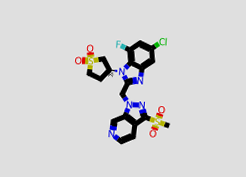 CS(=O)(=O)c1nn(Cc2nc3cc(Cl)cc(F)c3n2[C@@H]2CCS(=O)(=O)C2)c2cnccc12